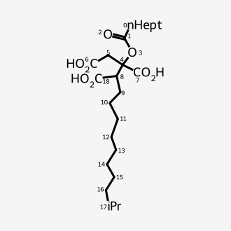 CCCCCCCC(=O)OC(CC(=O)O)(C(=O)O)C(CCCCCCCCC(C)C)C(=O)O